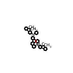 CC1(C)c2ccccc2-c2ccc(N(c3ccccc3)c3ccc4c(ccc5c4ccc4cccc(N(c6ccccc6)c6ccc7c(c6)C(C)(C)c6ccccc6-7)c45)c3)cc21